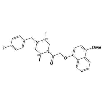 COc1ccc(OCC(=O)N2C[C@@H](C)N(Cc3ccc(F)cc3)C[C@@H]2C)c2ccccc12